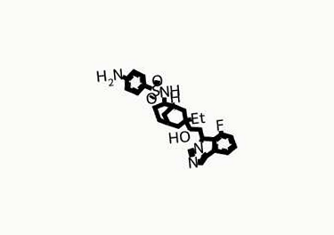 CCC1(C(O)CC2c3c(F)cccc3-c3cncn32)CC2CCC(NS(=O)(=O)c3ccc(N)cc3)[C@H](C2)C1